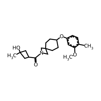 COc1cc(OC2CCC3(CC2)CN(C(=O)C2CC(C)(O)C2)C3)ccc1C